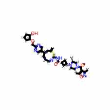 C=C1/C=C(c2cnc(CO[C@H]3CCC[C@@H]3O)nc2)\C=C/C/N=C(/NC(=O)[C@H]2C[C@@H](N3CCN(C(=O)c4c(C)noc4C)C[C@@H]3C)C2)S1